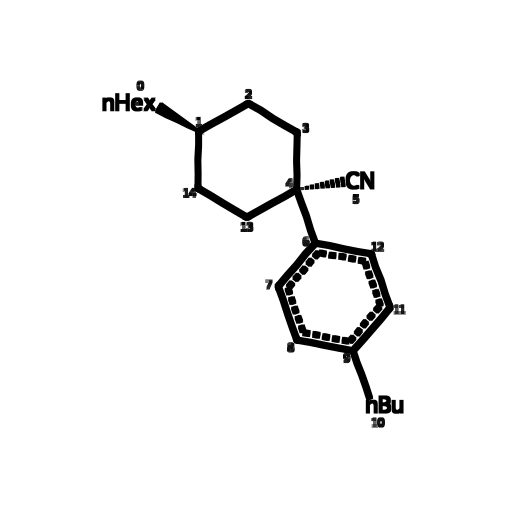 CCCCCC[C@H]1CC[C@@](C#N)(c2ccc(CCCC)cc2)CC1